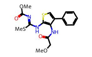 COCC(=O)Nc1c(-c2ccccc2)csc1NC(=NC(=O)OC)SC